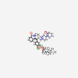 CN1C(=O)c2ccccc2[C@H]1[C@@H](CCN1CCC(N2CCCCC2=O)CC1)c1ccc(Br)c(Cl)c1.O=C(O)CC(O)(CC(=O)O)C(=O)O